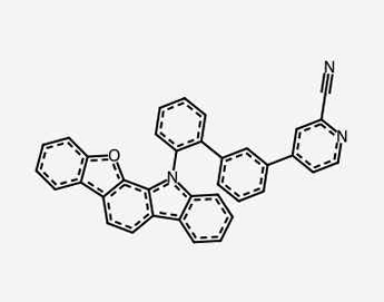 N#Cc1cc(-c2cccc(-c3ccccc3-n3c4ccccc4c4ccc5c6ccccc6oc5c43)c2)ccn1